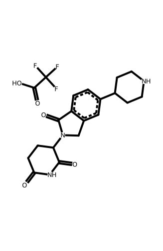 O=C(O)C(F)(F)F.O=C1CCC(N2Cc3cc(C4CCNCC4)ccc3C2=O)C(=O)N1